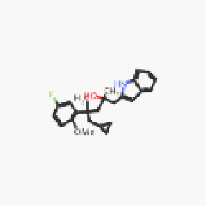 COc1ccc(F)cc1C(C)(CC1CC1)CC(C)(O)Cc1cc2ccccc2[nH]1